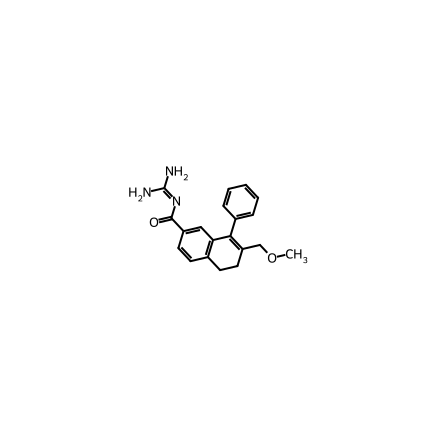 COCC1=C(c2ccccc2)c2cc(C(=O)N=C(N)N)ccc2CC1